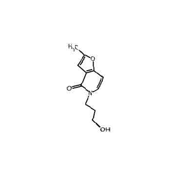 Cc1cc2c(=O)n(CCCO)ccc2o1